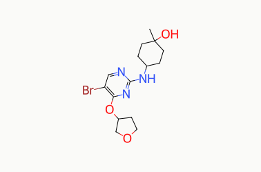 CC1(O)CCC(Nc2ncc(Br)c(OC3CCOC3)n2)CC1